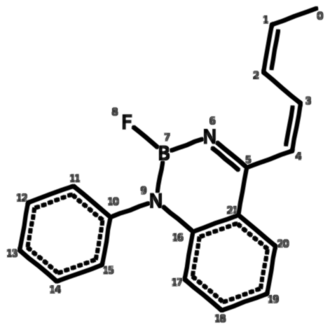 C/C=C\C=C/C1=NB(F)N(c2ccccc2)c2ccccc21